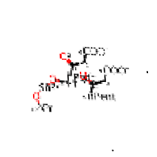 CCCCCC(=O)CC(=O)[O-].CCCCCC(=O)CC(=O)[O-].CCC[O][Sn+2][O]CCC